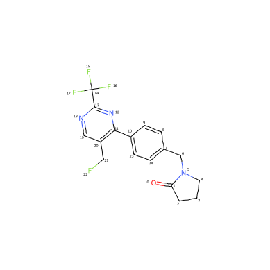 O=C1CCCN1Cc1ccc(-c2nc(C(F)(F)F)ncc2CF)cc1